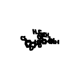 CN(C)C(=O)c1cc(-c2cn[nH]c2)ccc1NC(=O)C1COc2ccc(Cl)cc2C1